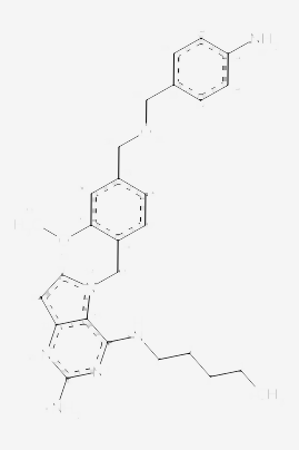 CCCCCNc1nc(N)nc2ccn(Cc3ccc(COCc4ccc(N)cc4)cc3OC)c12